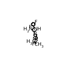 CC(C)(F)Cn1cc2c(n1)CN([C@H]1CNC(c3cc(F)ccc3F)[C@@H](N)C1)C2